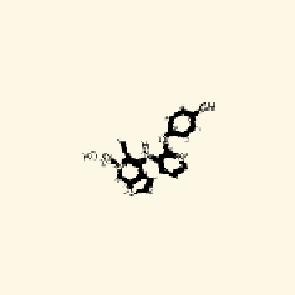 CC1=C(Nc2cccnc2OC2CCC(O)CC2)c2ccsc2CN1C(=O)O